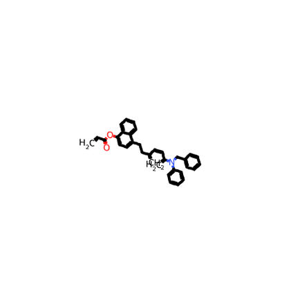 C=CC(=O)Oc1ccc(CCC(=C)/C=C\C(=C)N(Cc2ccccc2)c2ccccc2)c2ccccc12